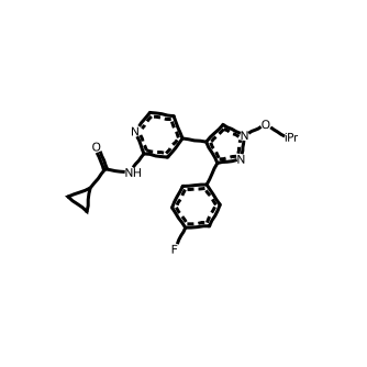 CC(C)On1cc(-c2ccnc(NC(=O)C3CC3)c2)c(-c2ccc(F)cc2)n1